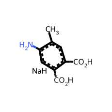 Cc1cc(C(=O)O)c(C(=O)O)cc1N.[NaH]